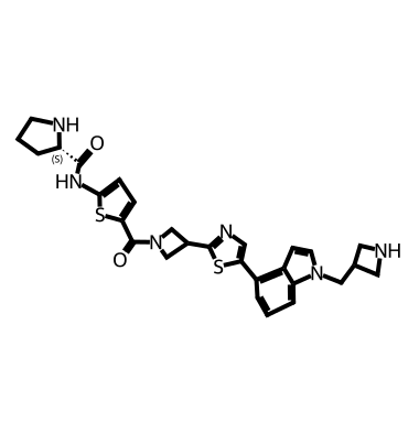 O=C(Nc1ccc(C(=O)N2CC(c3ncc(-c4cccc5c4ccn5CC4CNC4)s3)C2)s1)[C@@H]1CCCN1